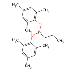 CC[CH2][Sc]([O]c1c(C)cc(C)cc1C)[O]c1c(C)cc(C)cc1C